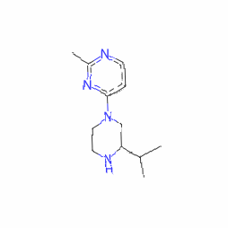 Cc1nccc(N2CCNC(C(C)C)C2)n1